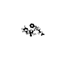 C#CC1(O)[C@@H](O)[C@@H](COP(=O)(Oc2ccccc2)O[C@@H](C)C(=O)OC(C)C)O[C@H]1n1cc(F)c(=O)[nH]c1=O